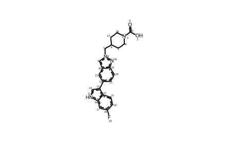 O=C(O)N1CCC(Cn2cc3cc(-c4c[nH]c5cc(F)ccc45)ccc3n2)CC1